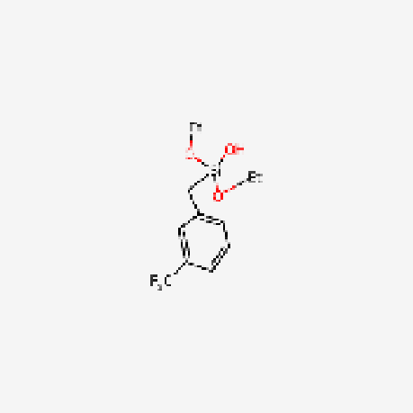 CCO[Si](O)(Cc1cccc(C(F)(F)F)c1)OCC